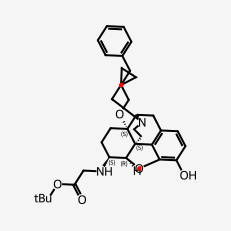 CC(C)(C)OC(=O)CN[C@H]1CC[C@@]2(OCCCc3ccccc3)C3Cc4ccc(O)c5c4[C@@]2(CCN3CC2CC2)[C@H]1O5